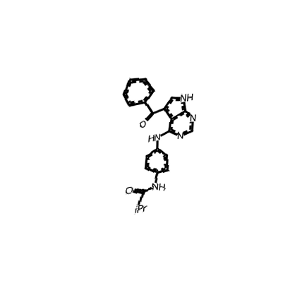 CC(C)C(=O)Nc1ccc(Nc2ncnc3[nH]cc(C(=O)c4ccccc4)c23)cc1